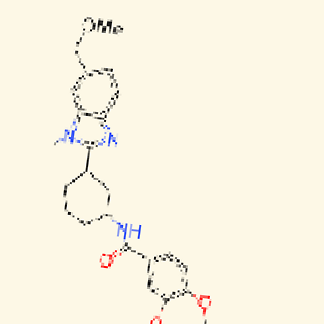 COCc1ccc2nc(C3CCCC(NC(=O)c4ccc5c(c4)OCCO5)C3)n(C)c2c1